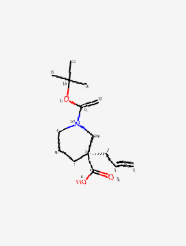 C=CC[C@]1(C(=O)O)CCCN(C(=C)OC(C)(C)C)C1